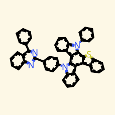 c1ccc(-c2nc(-c3ccc(-n4c5ccccc5c5c6c7ccccc7sc6c6c(c7ccccc7n6-c6ccccc6)c54)cc3)nc3ccccc23)cc1